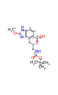 COc1nc2c(CCCNC(=O)OC(C)(C)C)c(C(=O)O)ccc2[nH]1